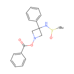 CC(C)(C)[S+]([O-])NC1(c2ccccc2)CN(OC(=O)c2ccccc2)C1